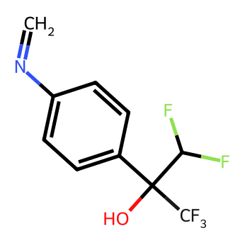 C=Nc1ccc(C(O)(C(F)F)C(F)(F)F)cc1